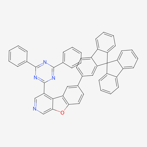 c1ccc(-c2nc(-c3ccccc3)nc(-c3cncc4oc5ccc(-c6ccc7c(c6)C6(c8ccccc8-c8ccccc86)c6ccccc6-7)cc5c34)n2)cc1